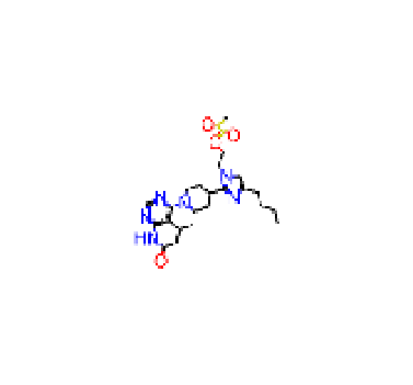 CCCCc1cn(CCOS(C)(=O)=O)c(C2CCN(c3ncnc4c3C(C)CC(=O)N4)CC2)n1